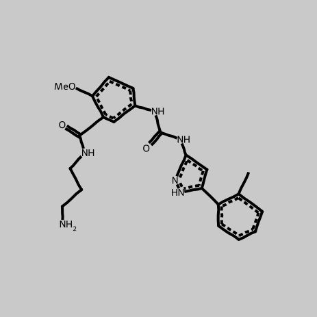 COc1ccc(NC(=O)Nc2cc(-c3ccccc3C)[nH]n2)cc1C(=O)NCCCN